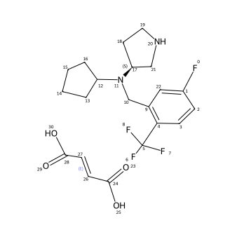 Fc1ccc(C(F)(F)F)c(CN(C2CCCC2)[C@H]2CCNC2)c1.O=C(O)/C=C/C(=O)O